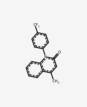 Cc1cc(=O)n(-c2ccc(C(F)(F)F)cc2)c2ccccc12